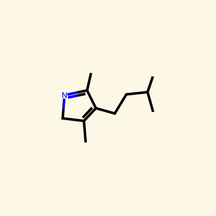 CC1=NCC(C)=C1CCC(C)C